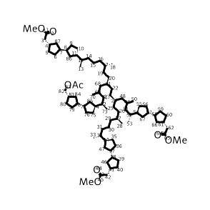 COC(=O)C[C@H]1CCC([C@H]2CC[C@H]([C@H](C)CCC[C@H](C)CC[C@@H](CC[C@H](CC[C@@H](C)CCC[C@@H](C)[C@H]3CC[C@H](C4CC[C@H](CC(=O)OC)C4)C3)CC(C)C[C@@H](C)[C@H]3CC[C@H](C4CC[C@H](CC(=O)OC)C4)C3)CC(C)C[C@@H](C)[C@H]3CC[C@H](C4CC[C@H](COC(C)=O)C4)C3)C2)C1